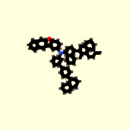 C=C/C=C\c1c(C)c(-c2ccc(N(c3cccc(-c4ccc(-c5cccc6ccccc56)cc4)c3)c3ccc4oc5cc6ccccc6cc5c4c3)c3ccccc23)cc2ccccc12